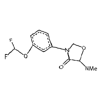 CNC1OCN(c2cccc(OC(F)F)c2)C1=O